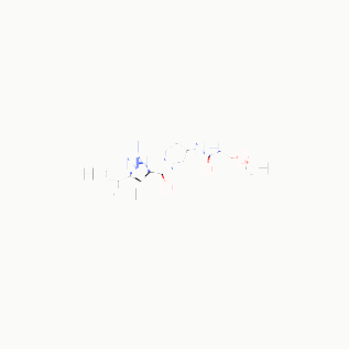 COCCC(=O)NC1CCN(C(=O)c2cc(C(C)C)n[nH]2)C1